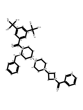 O=C(c1cccnc1)N1CC(N2CCN([C@H]3CCN(C(=O)c4cc(C(F)(F)F)cc(C(F)(F)F)c4)[C@H](Cc4ccccc4)C3)CC2)C1